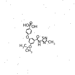 Cc1nsc(NC(=O)c2cc(Oc3ccc(P(=O)(O)O)cc3)cc(OC(C)C)c2)n1